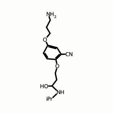 CC(C)NC(O)CCOc1ccc(OCCCN)cc1C#N